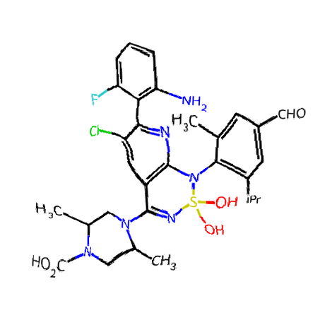 Cc1cc(C=O)cc(C(C)C)c1N1c2nc(-c3c(N)cccc3F)c(Cl)cc2C(N2CC(C)N(C(=O)O)CC2C)=NS1(O)O